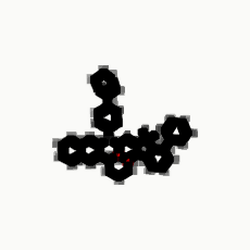 CC1(C)c2cc(N(c3ccc(C4CC5CCC4C5)cc3)c3cc4ccccc4cc3C3CCCCC3)ccc2-c2cccc(-c3ccccc3)c21